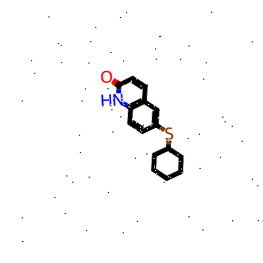 O=c1ccc2cc(SC3CCCCC3)ccc2[nH]1